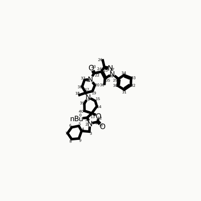 CCCCC1N(CC2CCCCC2)C(=O)OC12CCN(C1(C)CCN(C(=O)c3c(C)nn(-c4ccccc4)c3C)CC1)CC2